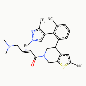 [C-]#[N+]c1cc2c(s1)CN(C(=O)/C=C/CN(C)C)CC2c1cccc(C#N)c1-c1cn(CC)nc1C(F)(F)F